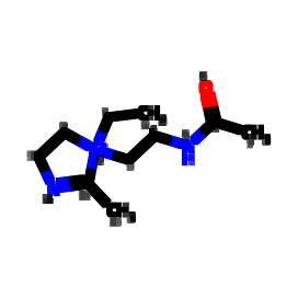 CC[N+]1(CCNC(C)=O)CCN=C1C